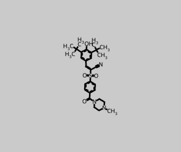 CN1CCN(C(=O)c2ccc(S(=O)(=O)C(C#N)=Cc3cc(C(C)(C)C)c(O)c(C(C)(C)C)c3)cc2)CC1